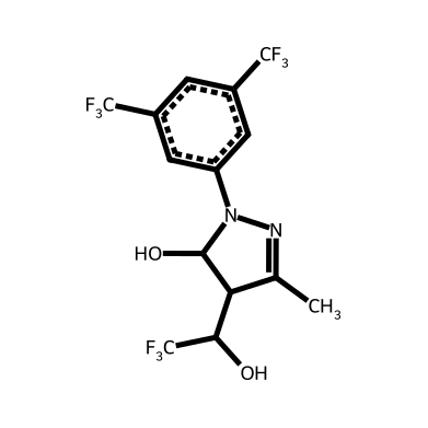 CC1=NN(c2cc(C(F)(F)F)cc(C(F)(F)F)c2)C(O)C1C(O)C(F)(F)F